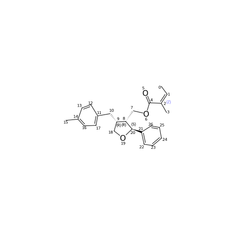 C/C=C(/C)C(=O)OC[C@H]1[C@@H](Cc2ccc(C)cc2)CO[C@@H]1c1ccccc1